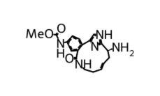 COC(=O)Nc1ccc2c(c1)C(=O)NCC/C=C/C[C@H](N)c1nc-2c[nH]1